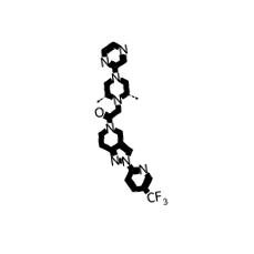 C[C@@H]1CN(c2cnccn2)C[C@H](C)N1CC(=O)N1CCc2nn(-c3ccc(C(F)(F)F)cn3)cc2C1